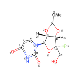 COC1O[C@H]2[C@H](n3ccc(=O)[nH]c3=O)O[C@](F)(CO)[C@H]2O1